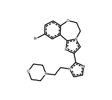 Brc1ccc2c(c1)-c1nc(-c3nccn3CCN3CCOCC3)cn1CCO2